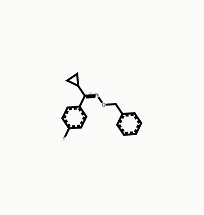 Fc1ccc(/C(=N\OCc2ccccc2)C2CC2)cc1